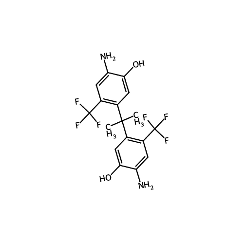 CC(C)(c1cc(O)c(N)cc1C(F)(F)F)c1cc(O)c(N)cc1C(F)(F)F